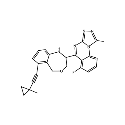 Cc1nnc2nc(C3COCc4c(C#CC5(C)CC5)cccc4N3)c3c(F)cccc3n12